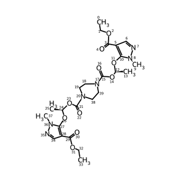 CCOC(=O)c1cnn(C)c1O[C@@H](C)OC(=O)N1CCN(C(=O)O[C@H](C)Oc2c(C(=O)OCC)cnn2C)CC1